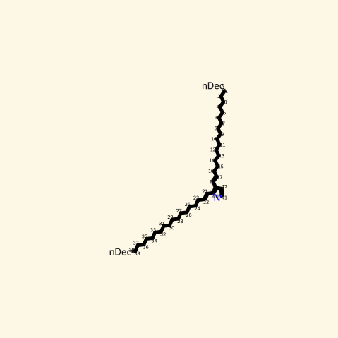 CCCCCCCCCCCCCCCCCCCCCCCCCC/C=C/C1=C(/C=C/CCCCCCCCCCCCCCCCCCCCCCCCCC)[N]C=C1